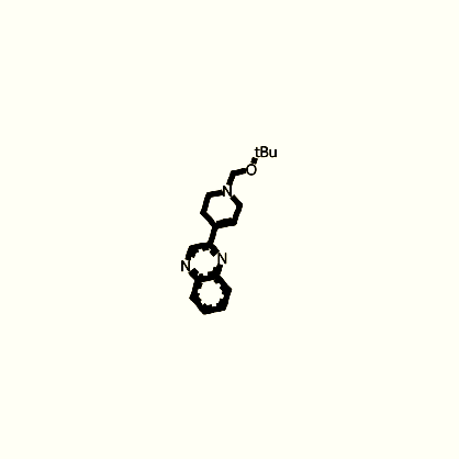 CC(C)(C)OCN1CC=C(c2cnc3ccccc3n2)CC1